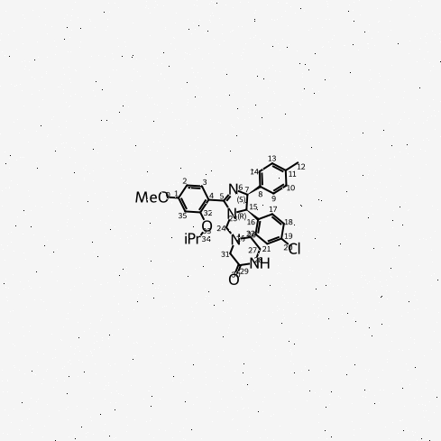 COc1ccc(C2=N[C@@H](c3ccc(C)cc3)[C@@H](c3ccc(Cl)cc3)N2CN2CCNC(=O)C2)c(OC(C)C)c1